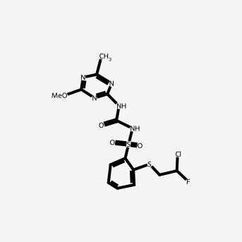 COc1nc(C)nc(NC(=O)NS(=O)(=O)c2ccccc2SCC(F)Cl)n1